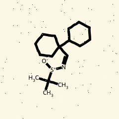 CC(C)(C)[S+]([O-])/N=C\C1(C2CCCCC2)CCCCC1